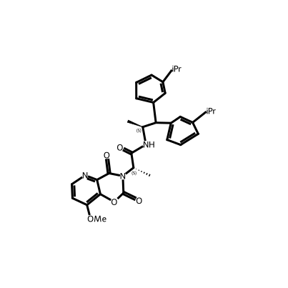 COc1ccnc2c(=O)n([C@@H](C)C(=O)N[C@@H](C)C(c3cccc(C(C)C)c3)c3cccc(C(C)C)c3)c(=O)oc12